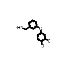 [NH]Cc1cccc(Oc2ccc(Cl)c(Cl)c2)c1